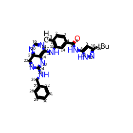 Cc1ccc(C(=O)Nc2cc(C(C)(C)C)n[nH]2)cc1Nc1ncnc2cnc(NCc3ccccc3)nc12